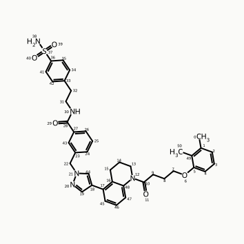 Cc1cccc(OCCCC(=O)N2CCCc3c(-c4cnn(Cc5cccc(C(=O)NCCc6ccc(S(N)(=O)=O)cc6)c5)c4)cccc32)c1C